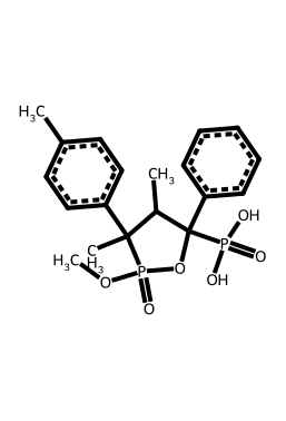 COP1(=O)OC(c2ccccc2)(P(=O)(O)O)C(C)C1(C)c1ccc(C)cc1